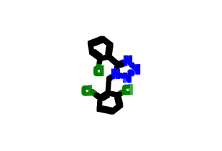 Clc1ccccc1-c1nnnn1Cc1c(Cl)cccc1Cl